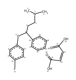 CN(C)CCC(Oc1ccc(F)cc1)c1ccccc1.O=C(O)/C=C\C(=O)O